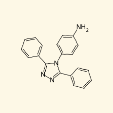 Nc1ccc(-n2c(-c3ccccc3)nnc2-c2ccccc2)cc1